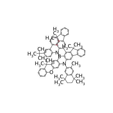 Cc1cc2c(cc1N1c3cc4c(cc3B3c5c1cc1c(c5-c5cc6c(cc5N3c3ccc(C(C)(C)C)cc3-c3ccccc3)C(C)(C)c3ccccc3-6)C(C)(C)c3ccccc3-1)C(C)(C)c1ccccc1O4)C(C)(C)CCC2(C)C